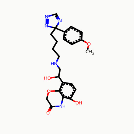 COc1ccc(C2(CCCCNCC(O)c3ccc(O)c4c3OCC(=O)N4)N=CN=N2)cc1